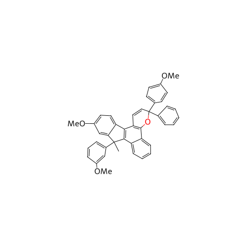 COc1ccc(C2(c3ccccc3)C=Cc3c4c(c5ccccc5c3O2)C(C)(c2cccc(OC)c2)c2cc(OC)ccc2-4)cc1